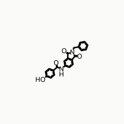 O=C(Nc1ccc2c(c1)C(=O)N(Cc1ccccc1)C2=O)c1ccc(O)cc1